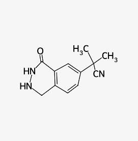 CC(C)(C#N)c1ccc2c(c1)C(=O)NNC2